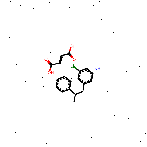 CC(Cc1cccc(Cl)c1)c1ccccc1.N.O=C(O)C=CC(=O)O